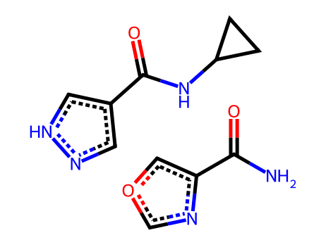 NC(=O)c1cocn1.O=C(NC1CC1)c1cn[nH]c1